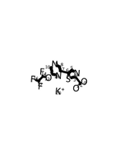 O=C([O-])c1ncc(-c2cncc(OC(F)C(F)F)n2)s1.[K+]